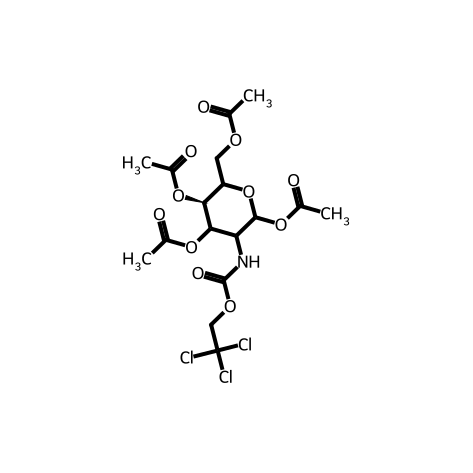 CC(=O)OCC1OC(OC(C)=O)C(NC(=O)OCC(Cl)(Cl)Cl)C(OC(C)=O)[C@H]1OC(C)=O